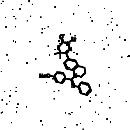 CCN1N=C(c2ccc3c(c2)CCCN3/C(=N\c2ccccc2)c2ccc(OC)cc2)C(C)(C)SC1=O